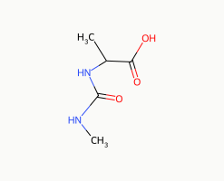 CNC(=O)NC(C)C(=O)O